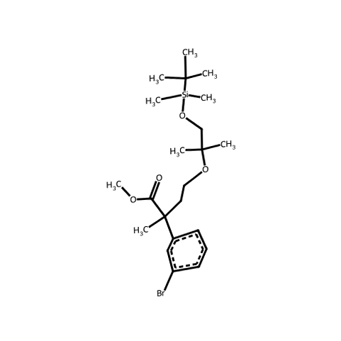 COC(=O)C(C)(CCOC(C)(C)CO[Si](C)(C)C(C)(C)C)c1cccc(Br)c1